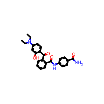 CCN(CC)c1ccc(C(=O)c2ccccc2C(=O)Nc2ccc(C(N)=O)cc2)c(O)c1